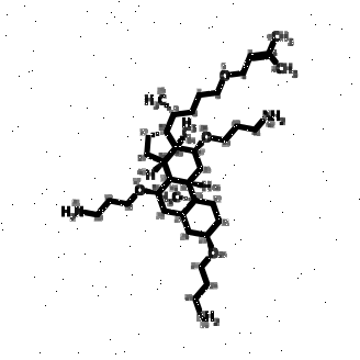 CC(C)=CCOCCC[C@@H](C)[C@H]1CC[C@H]2C3[C@H](OCCCN)CC4C[C@H](OCCCN)CC[C@]4(C)[C@H]3C[C@H](OCCCN)C12C